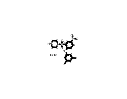 Cc1cc(C)cc(Oc2ccc([N+](=O)[O-])cc2S(=O)(=O)N2CCNCC2)c1.Cl